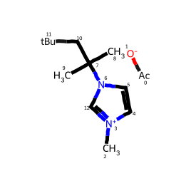 CC(=O)[O-].C[n+]1ccn(C(C)(C)CC(C)(C)C)c1